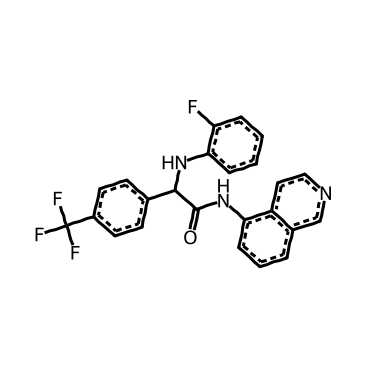 O=C(Nc1cccc2cnccc12)C(Nc1ccccc1F)c1ccc(C(F)(F)F)cc1